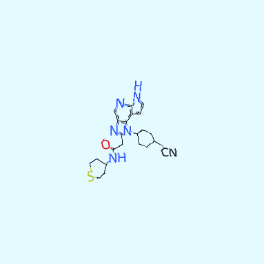 N#CCC1CCC(n2c(CC(=O)NC3CCSCC3)nc3cnc4[nH]ccc4c32)CC1